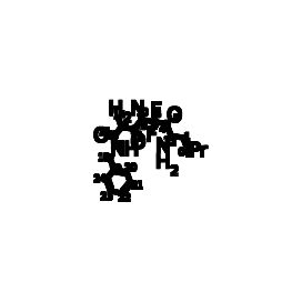 CC(C)CC(N)C(=O)C(F)(F)C(N)C(=O)C(C)C(=O)NCc1ccccc1